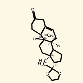 CC1([C@H]2CCC3[C@@H]4CC=C5CC(=O)CC[C@]5(C)[C@H]4CC[C@@]32C)OCCO1